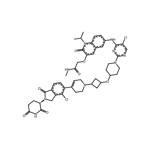 CNC(=O)COc1cc2cc(Nc3nc(N4CCC(OC5CC(N6CC=C(c7ccc8c(c7Cl)CN([C@@H]7CCC(=O)NC7=O)C8=O)CC6)C5)CC4)ncc3Cl)ccc2n(C(C)C)c1=O